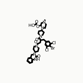 CN1CCN(C2CCN(C(=O)C(CC(=O)N3CCC(N4Cc5ccccc5NC4=O)CC3)Cc3cc(Cl)c(Br)c(Cl)c3)CC2)C(OC(=O)O)C1